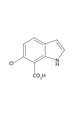 O=C(O)c1c(Cl)ccc2cc[nH]c12